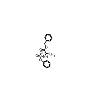 CC(NP(=O)(Cl)Oc1ccccc1)C(=O)OCc1ccccc1